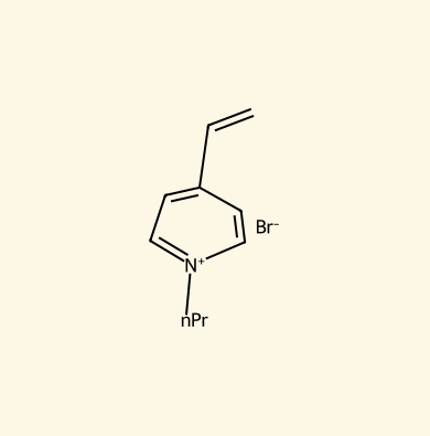 C=Cc1cc[n+](CCC)cc1.[Br-]